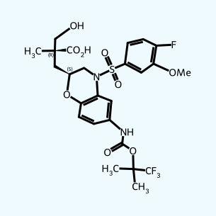 COc1cc(S(=O)(=O)N2C[C@H](C[C@](C)(CO)C(=O)O)Oc3ccc(NC(=O)OC(C)(C)C(F)(F)F)cc32)ccc1F